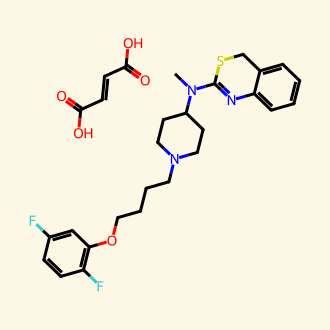 CN(C1=Nc2ccccc2CS1)C1CCN(CCCCOc2cc(F)ccc2F)CC1.O=C(O)C=CC(=O)O